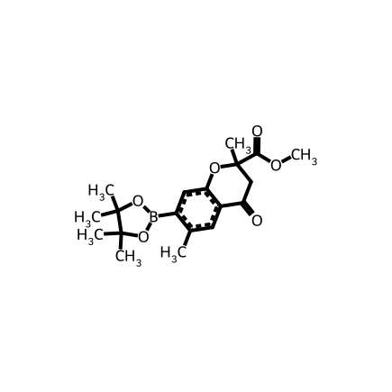 COC(=O)C1(C)CC(=O)c2cc(C)c(B3OC(C)(C)C(C)(C)O3)cc2O1